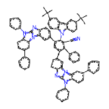 CC(C)(C)c1ccc2c(c1)c1cc(C(C)(C)C)ccc1n2-c1c(-c2ccc3nc4n(-c5ccccc5)c5ccc(-c6ccccc6)cc5n4c3c2)cc(-c2ccc3nc4n(-c5ccccc5)c5ccc(-c6ccccc6)cc5n4c3c2)c(-c2ccccc2)c1C#N